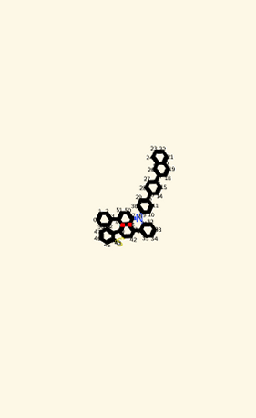 c1ccc(-c2ccc(N(c3ccc(-c4ccc(-c5ccc6ccccc6c5)cc4)cc3)c3ccccc3-c3ccc4c(c3)sc3ccccc34)cc2)cc1